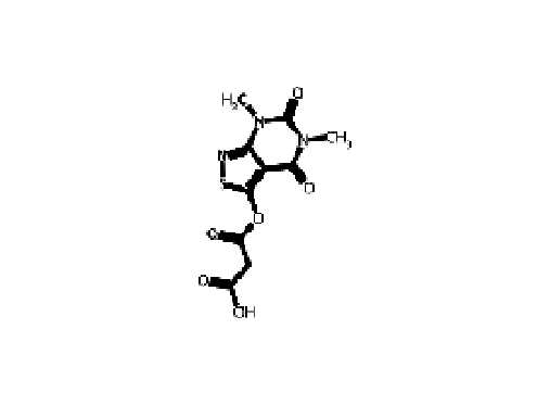 Cn1c(=O)c2c(OC(=O)CC(=O)O)snc2n(C)c1=O